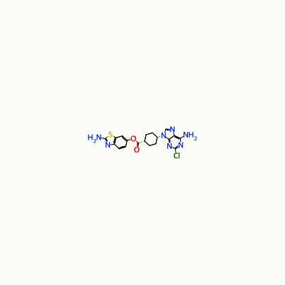 Nc1nc2ccc(OC(=O)[C@H]3CC[C@@H](n4cnc5c(N)nc(Cl)nc54)CC3)cc2s1